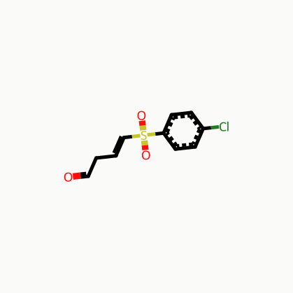 O=CC/C=C/S(=O)(=O)c1ccc(Cl)cc1